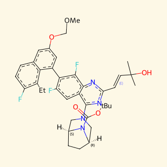 CCc1c(F)ccc2cc(OCOC)cc(-c3c(F)cc4c(N5C[C@H]6CC[C@@H](C5)N6C(=O)OC(C)(C)C)nc(/C=C/C(C)(C)O)nc4c3F)c12